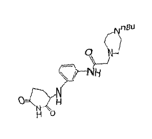 CCCCN1CCN(CC(=O)Nc2cccc(NC3CCC(=O)NC3=O)c2)CC1